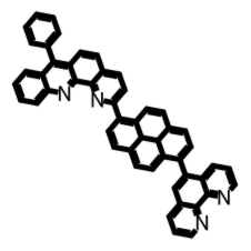 C1=CC2=C(c3ccc4ccc5c(-c6ccccc6)c6ccccc6nc5c4n3)C=CC3=CC=C4C(c5cc6cccnc6c6ncccc56)=CC=C1C4C32